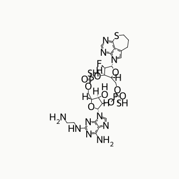 NCCNc1nc(N)c2ncn([C@@H]3O[C@@H]4COP(=O)(S)O[C@H]5[C@@H](F)[C@H](n6cc7c8c(ncnc86)SCCC7)O[C@@H]5COP(=O)(S)O[C@@H]3[C@@H]4O)c2n1